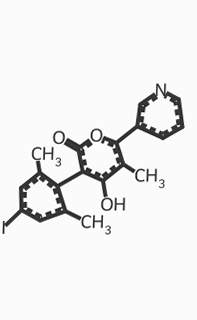 Cc1cc(I)cc(C)c1-c1c(O)c(C)c(-c2cccnc2)oc1=O